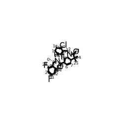 C[C@H](NC(=O)c1ccc2c(c1)N(Cc1c(F)cccc1Cl)C(=O)C2(C)C)c1c(F)cc(F)cc1F